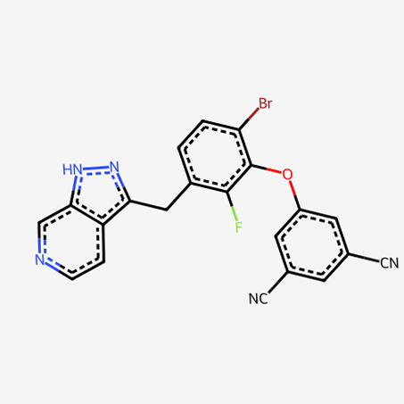 N#Cc1cc(C#N)cc(Oc2c(Br)ccc(Cc3n[nH]c4cnccc34)c2F)c1